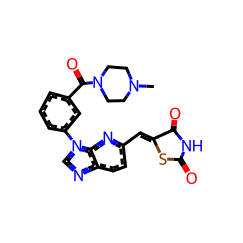 CN1CCN(C(=O)c2cccc(-n3cnc4ccc(/C=C5\SC(=O)NC5=O)nc43)c2)CC1